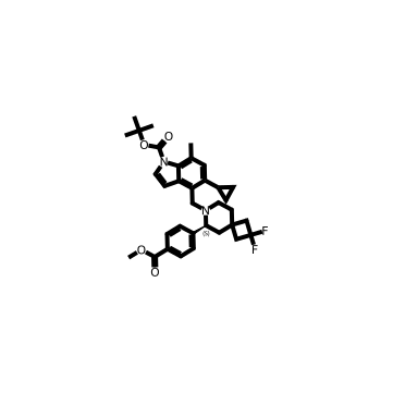 COC(=O)c1ccc([C@@H]2CC3(CCN2Cc2c(C4CC4)cc(C)c4c2ccn4C(=O)OC(C)(C)C)CC(F)(F)C3)cc1